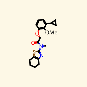 COc1c(OCC(=O)N(C)c2nc3c(s2)CCCC3)cccc1C1CC1